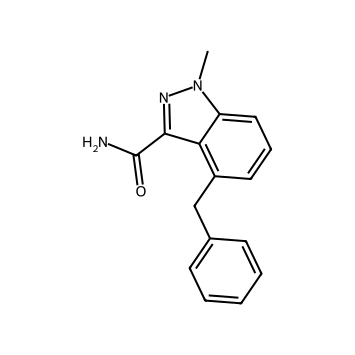 Cn1nc(C(N)=O)c2c(Cc3ccccc3)cccc21